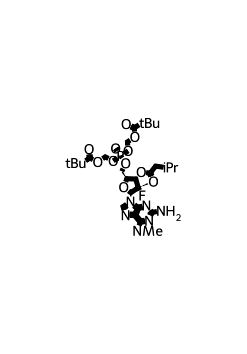 CNc1nc(N)nc2c1ncn2[C@@H]1O[C@H](COP(=O)(OCOC(=O)C(C)(C)C)OCOC(=O)C(C)(C)C)[C@@H](OC(=O)CC(C)C)[C@@]1(C)F